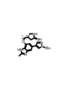 Cc1nc2cc(-c3cnn(C(C)(C)C)c3)cc(O[C@H](C)[C@H]3CNC(=N)C3)c2[nH]1